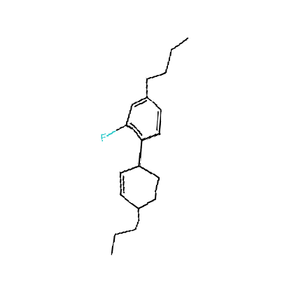 CCCCc1ccc(C2C=CC(CCC)CC2)c(F)c1